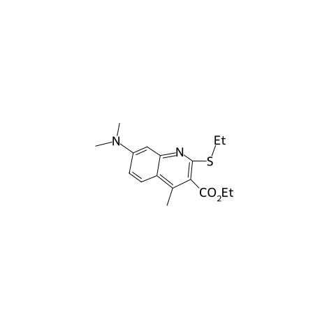 CCOC(=O)c1c(SCC)nc2cc(N(C)C)ccc2c1C